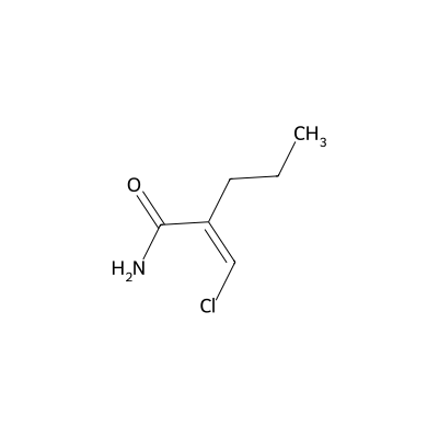 CCCC(=CCl)C(N)=O